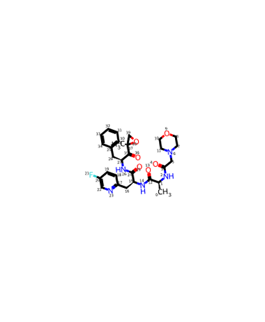 C[C@H](NC(=O)CN1CCOCC1)C(=O)N[C@@H](Cc1ccc(F)cn1)C(=O)N[C@@H](Cc1ccccc1)C(=O)[C@@]1(C)CO1